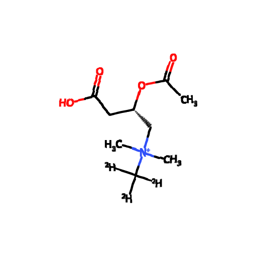 [2H]C([2H])([2H])[N+](C)(C)C[C@H](CC(=O)O)OC(C)=O